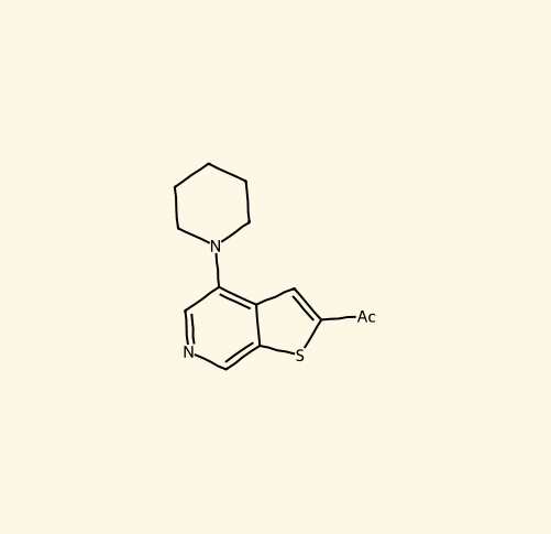 CC(=O)c1cc2c(N3CCCCC3)cncc2s1